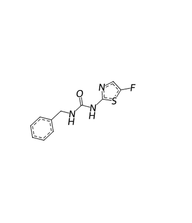 O=C(NCc1ccccc1)Nc1ncc(F)s1